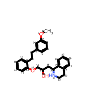 COc1cccc(CCc2ccccc2OCC(O)CC2NCCc3ccccc32)c1